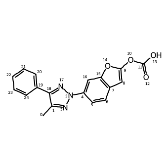 Cc1nn(-c2ccc3cc(OC(=O)O)oc3c2)nc1-c1ccccc1